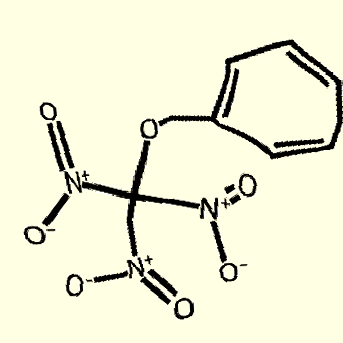 O=[N+]([O-])C(Oc1ccccc1)([N+](=O)[O-])[N+](=O)[O-]